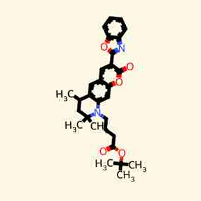 CC1CC(C)(C)N(CCCC(=O)OC(C)(C)C)c2cc3oc(=O)c(-c4nc5ccccc5o4)cc3cc21